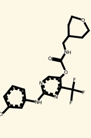 O=C(NCC1CCOCC1)Oc1cnc(Nc2cccc(Cl)c2)nc1C(F)(F)F